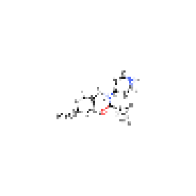 COc1ccc(CN(C(=O)[C@H]2C[C@@H]2C)c2ccncc2)cc1